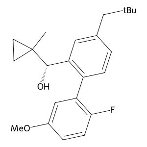 COc1ccc(F)c(-c2ccc(CC(C)(C)C)cc2[C@H](O)C2(C)CC2)c1